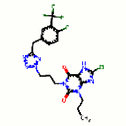 CCCn1c(=O)n(CCCn2nnc(Cc3ccc(F)c(C(F)(F)F)c3)n2)c(=O)c2[nH]c(Cl)nc21